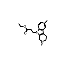 CCOC(=O)CCn1c2c(c3cc(C)ccc31)CCN(C)C2